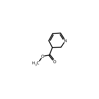 COC(=O)C1C=CC=NC1